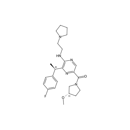 CO[C@H]1CCN(C(=O)c2cnc(NCCN3CCCC3)c([C@H](C)c3ccc(F)cc3)n2)C1